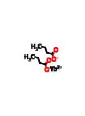 CCCC(=O)[O-].CCCC(=O)[O-].[Yb+2]